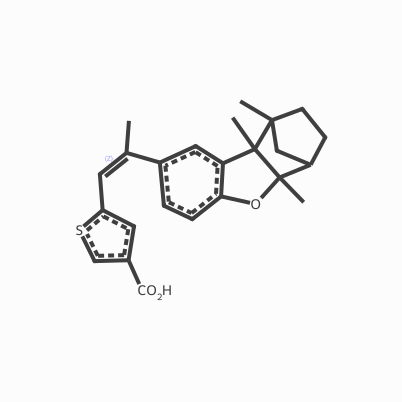 C/C(=C/c1cc(C(=O)O)cs1)c1ccc2c(c1)C1(C)C3(C)CCC(C3)C1(C)O2